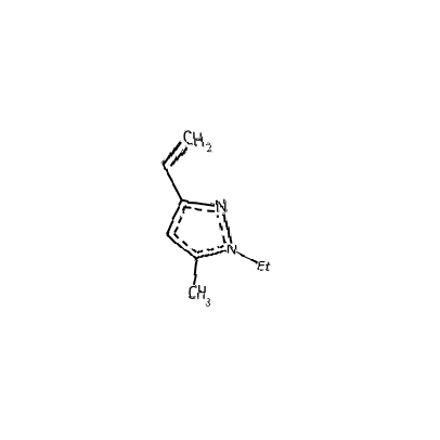 C=Cc1cc(C)n(CC)n1